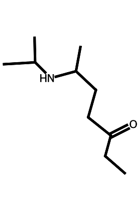 CCC(=O)CCC(C)NC(C)C